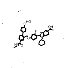 CCNC(=O)c1ccc(-c2ccc(Cl)cc2)c(COc2ccc(-c3nc4cc(C(=O)O)ccc4n3C3CCCCC3)c(F)c2)c1.Cl